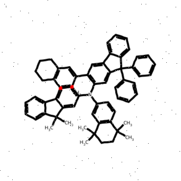 Cc1cc2c(cc1-c1cc3c(cc1N(c1ccc4c(c1)C(C)(C)CCC4(C)C)c1ccc4c(c1)C(C)(C)c1ccccc1-4)C(c1ccccc1)(c1ccccc1)c1ccccc1-3)CCCC2